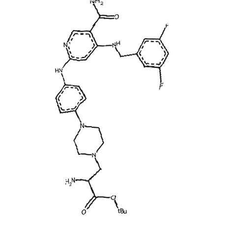 CC(C)(C)OC(=O)C(N)CN1CCN(c2ccc(Nc3cc(NCc4cc(F)cc(F)c4)c(C(N)=O)cn3)cc2)CC1